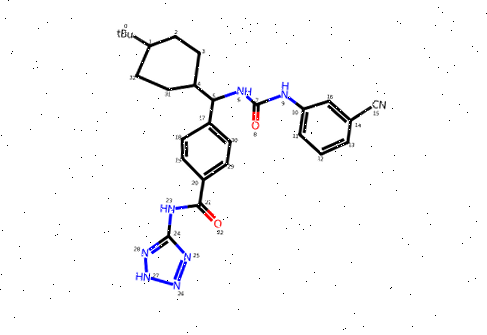 CC(C)(C)C1CCC(C(NC(=O)Nc2cccc(C#N)c2)c2ccc(C(=O)Nc3nn[nH]n3)cc2)CC1